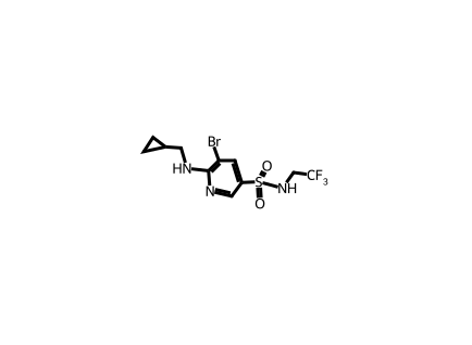 O=S(=O)(NCC(F)(F)F)c1cnc(NCC2CC2)c(Br)c1